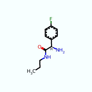 CCCNC(=O)[C@H](N)c1ccc(F)cc1